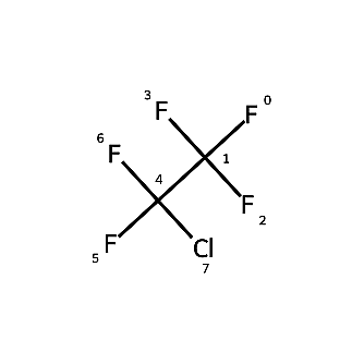 FC(F)(F)C(F)(F)Cl